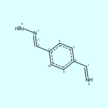 CCCC/N=C/c1ccc(C=N)cc1